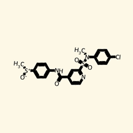 CN(c1ccc(Cl)cc1)S(=O)(=O)c1cc(C(=O)Nc2ccc([S+](C)[O-])cc2)ccn1